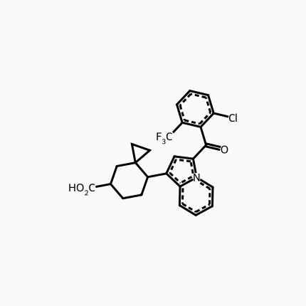 O=C(c1c(Cl)cccc1C(F)(F)F)c1cc(C2CCC(C(=O)O)CC23CC3)c2ccccn12